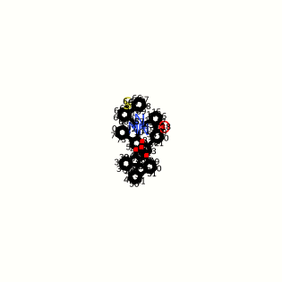 c1ccc(-c2ccccc2-c2nc(-c3cccc4oc5ccc(-c6cccc(-c7cccc8c7C7(c9ccccc9-c9ccccc97)c7ccccc7-8)c6)cc5c34)nc(-c3cccc4sc5ccccc5c34)n2)cc1